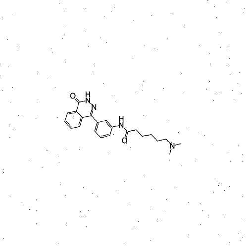 CN(C)CCCCCC(=O)Nc1cccc(-c2n[nH]c(=O)c3ccccc23)c1